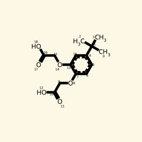 CC(C)(C)c1ccc(OCC(=O)O)c(OCC(=O)O)c1